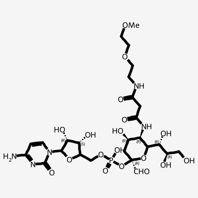 COCCOCCNC(=O)CC(=O)N[C@H]1C([C@H](O)[C@H](O)CO)O[C@@](C=O)(OP(=O)(O)OCC2OC(n3ccc(N)nc3=O)[C@H](O)[C@@H]2O)C[C@H]1O